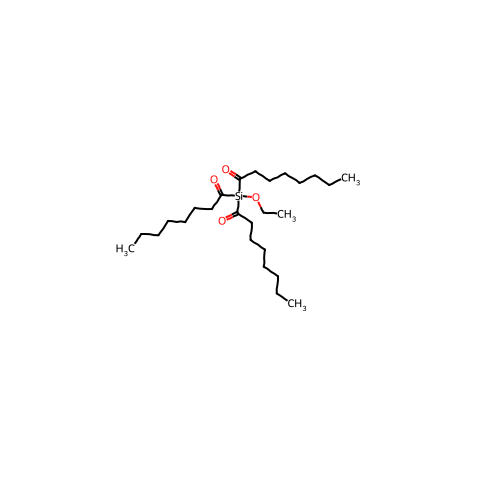 CCCCCCCC(=O)[Si](OCC)(C(=O)CCCCCCC)C(=O)CCCCCCC